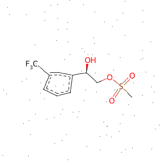 CS(=O)(=O)OC[C@H](O)c1cccc(C(F)(F)F)c1